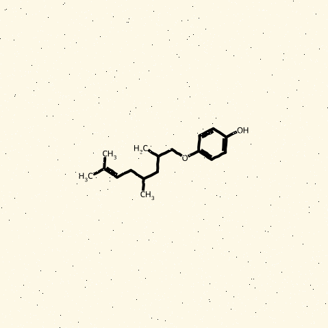 CC(C)=CCC(C)CC(C)COc1ccc(O)cc1